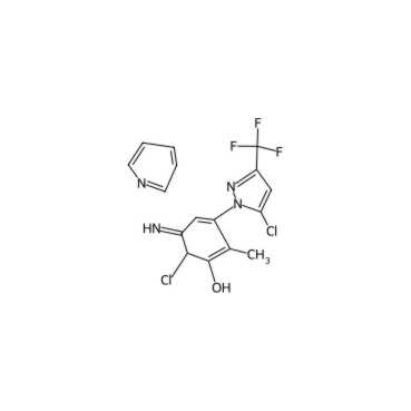 CC1=C(O)C(Cl)C(=N)C=C1n1nc(C(F)(F)F)cc1Cl.c1ccncc1